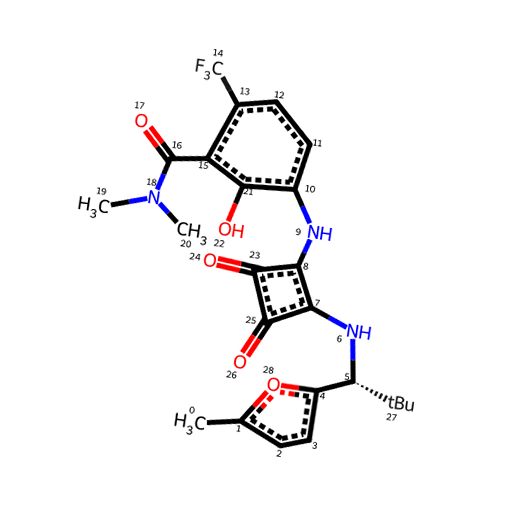 Cc1ccc([C@H](Nc2c(Nc3ccc(C(F)(F)F)c(C(=O)N(C)C)c3O)c(=O)c2=O)C(C)(C)C)o1